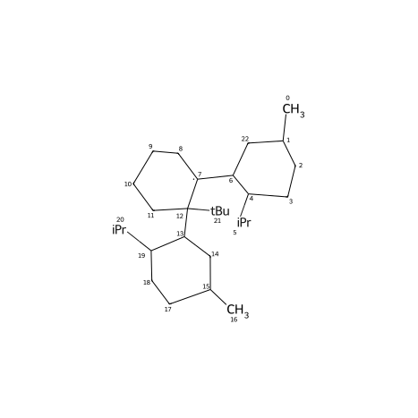 CC1CCC(C(C)C)C([C]2CCCCC2(C2CC(C)CCC2C(C)C)C(C)(C)C)C1